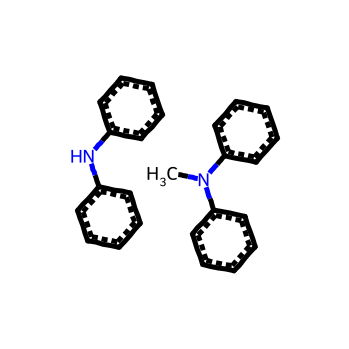 CN(c1ccccc1)c1ccccc1.c1ccc(Nc2ccccc2)cc1